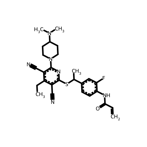 C=CC(=O)Nc1ccc(C(C)Sc2nc(N3CCC(N(C)C)CC3)c(C#N)c(CC)c2C#N)cc1F